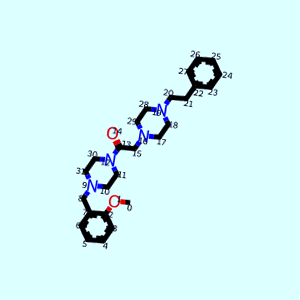 COc1ccccc1CN1CCN(C(=O)CN2CCN(CCc3ccccc3)CC2)CC1